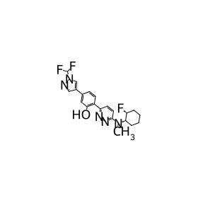 CN(c1ccc(-c2ccc(-c3cnn(C(F)F)c3)cc2O)nn1)[C@@H]1CCCC[C@@H]1F